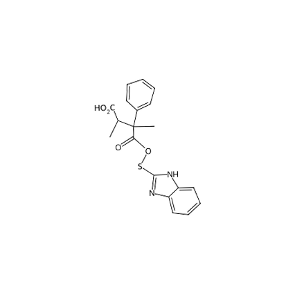 CC(C(=O)O)C(C)(C(=O)OSc1nc2ccccc2[nH]1)c1ccccc1